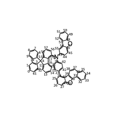 c1ccc(C2(c3ccccc3)c3ccccc3-c3c(N(c4ccc(-c5cccc6oc7c8ccccc8ccc7c56)cc4)c4ccc5oc6ccccc6c5c4)cccc32)cc1